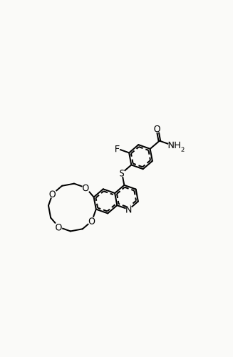 NC(=O)c1ccc(Sc2ccnc3cc4c(cc23)OCCOCCOCCO4)c(F)c1